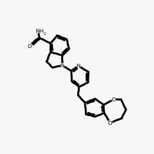 NC(=O)c1cccc2c1CCN2c1cc(Cc2ccc3c(c2)OCCCO3)ccn1